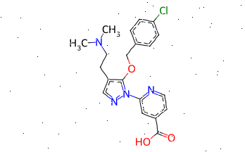 CN(C)CCc1cnn(-c2cc(C(=O)O)ccn2)c1OCc1ccc(Cl)cc1